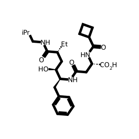 CC[C@H](C[C@H](O)[C@H](Cc1ccccc1)NC(=O)C[C@H](NC(=O)C1CCC1)C(=O)O)C(=O)NCC(C)C